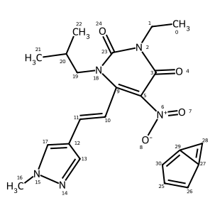 CCn1c(=O)c([N+](=O)[O-])c(C=Cc2cnn(C)c2)n(CC(C)C)c1=O.c1cc2cc-2c1